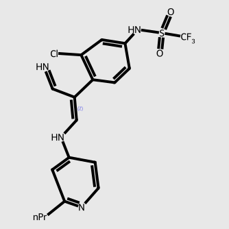 CCCc1cc(N/C=C(\C=N)c2ccc(NS(=O)(=O)C(F)(F)F)cc2Cl)ccn1